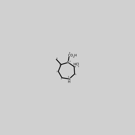 CC1CCNCCN1C(=O)O.Cl